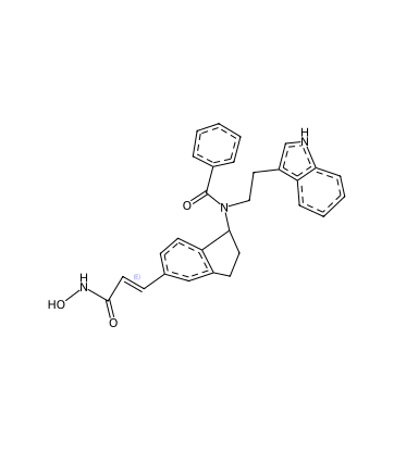 O=C(/C=C/c1ccc2c(c1)CCC2N(CCc1c[nH]c2ccccc12)C(=O)c1ccccc1)NO